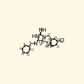 CC(C)CC1(C)/C(=N/Cc2ccccc2)NC(=N)N1Cc1cccc(Cl)c1